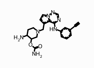 C#Cc1cccc(Nc2ncnn3ccc(CN4CCC(N)C(OC(N)=O)C4)c23)c1